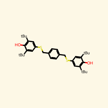 CC(C)(C)c1cc(SCc2ccc(CSc3cc(C(C)(C)C)c(O)c(C(C)(C)C)c3)cc2)cc(C(C)(C)C)c1O